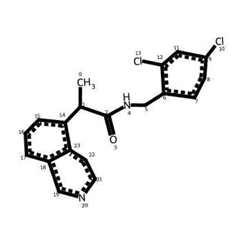 CC(C(=O)NCc1ccc(Cl)cc1Cl)c1cccc2cnccc12